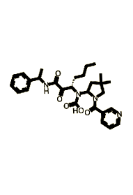 CCCC[C@@H](C(=O)C(=O)NC(C)c1ccccc1)N(C(=O)O)C1CC(C)(C)CN1C(=O)c1cccnc1